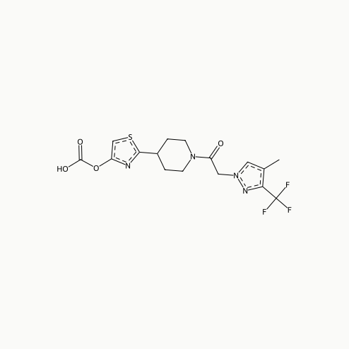 Cc1cn(CC(=O)N2CCC(c3nc(OC(=O)O)cs3)CC2)nc1C(F)(F)F